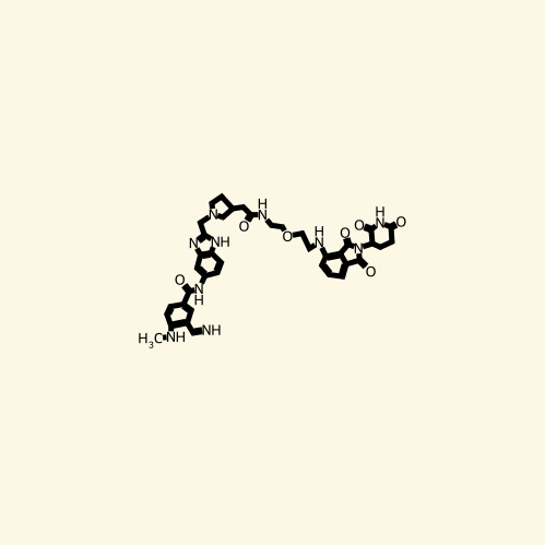 CNc1ccc(C(=O)Nc2ccc3[nH]c(CN4CCC(CC(=O)NCCOCCNc5cccc6c5C(=O)N(C5CCC(=O)NC5=O)C6=O)C4)nc3c2)cc1C=N